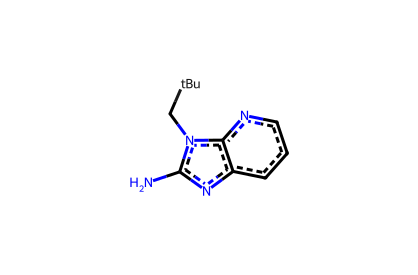 CC(C)(C)Cn1c(N)nc2cccnc21